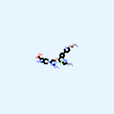 CCOc1ccc(-c2ccc([C@@H](Oc3cc(N4CCC5(CC4)CNC(C(=O)O)C5)nc(N)n3)C(F)(F)F)c(-n3ccc(C)n3)c2)cn1